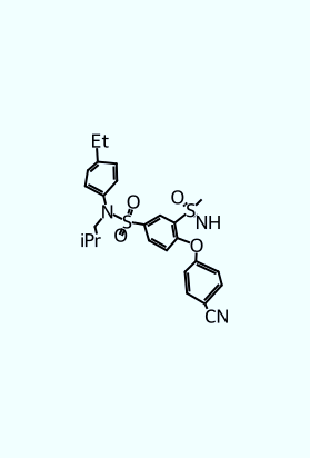 CCc1ccc(N(CC(C)C)S(=O)(=O)c2ccc(Oc3ccc(C#N)cc3)c(S(C)(=N)=O)c2)cc1